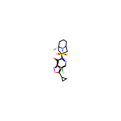 O=C(NC1CC2CCC[C@H](C1)N2S(=O)(=O)c1ccc(Cl)cn1)c1cc(C2CC2)on1